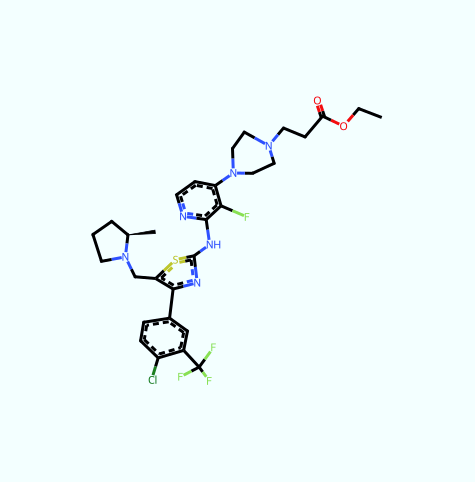 CCOC(=O)CCN1CCN(c2ccnc(Nc3nc(-c4ccc(Cl)c(C(F)(F)F)c4)c(CN4CCC[C@H]4C)s3)c2F)CC1